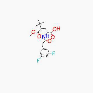 COC(=O)C(C[C@@H](NC(=O)Cc1cc(F)cc(F)c1)C(=O)O)C(C)(C)C